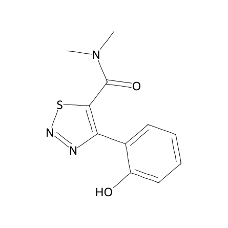 CN(C)C(=O)c1snnc1-c1ccccc1O